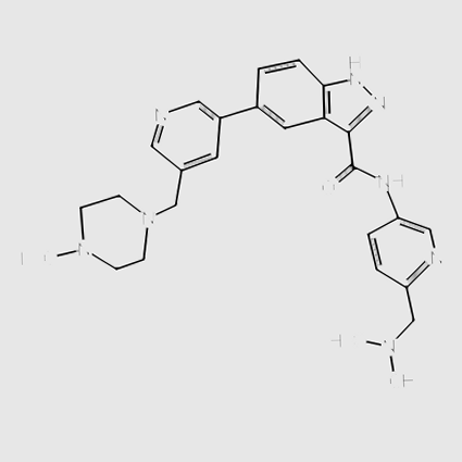 CN(C)Cc1ccc(NC(=O)c2n[nH]c3ccc(-c4cncc(CN5CCN(C)CC5)c4)cc23)cn1